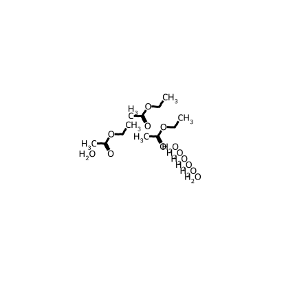 CCOC(C)=O.CCOC(C)=O.CCOC(C)=O.O.O.O.O.O.O.O